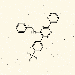 FC(F)(F)c1ccc(-c2nnc(-c3ccccn3)nc2NCc2ccccc2)cc1